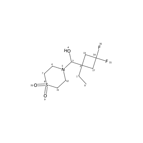 CCC1(C(O)N2CCS(=O)(=O)CC2)CC(F)(F)C1